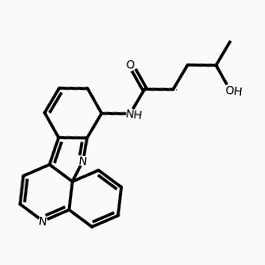 CC(O)C[CH]C(=O)NC1CC=CC2=C3C=CN=C4C=CC=CC43N=C21